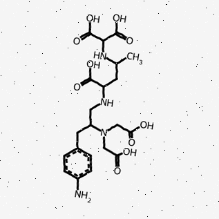 CC(CC(NCC(Cc1ccc(N)cc1)N(CC(=O)O)CC(=O)O)C(=O)O)NC(C(=O)O)C(=O)O